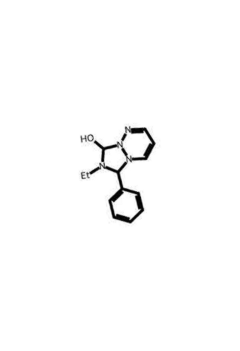 CCN1C(c2ccccc2)N2C=CC=NN2C1O